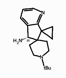 CC(C)(C)N1CCC2(CC1)[C@H](N)c1cccnc1C21CC1